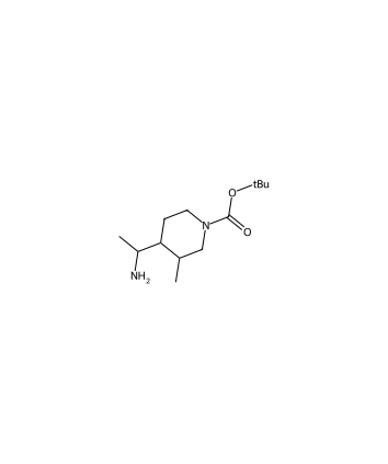 CC(N)C1CCN(C(=O)OC(C)(C)C)CC1C